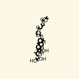 C[C@@H]1C[C@H](C(O)C(C)(C)O)O[C@H]2C1[C@@]1(C)CC[C@@]34CC35CCC(OC3CN(C(=O)CC6CN(C(=O)OC(C)(C)C)C6)CCO3)C(C)(C)[C@@H]5CC[C@H]4[C@]1(C)[C@H]2O